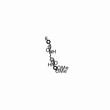 COc1ccc(NC(=O)N2CCC(CCCNC(=O)COCc3ccc(F)cc3)CC2)cc1OC